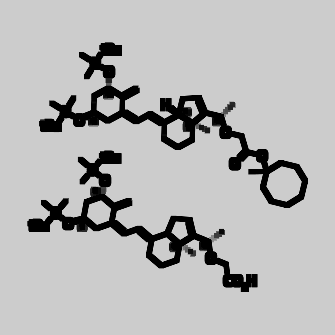 C=C1C(=CC=C2CCC[C@]3(C)C([C@H](C)OCC(=O)O)=CCC23)C[C@@H](O[Si](C)(C)C(C)(C)C)C[C@@H]1O[Si](C)(C)C(C)(C)C.C=C1C(=CC=C2CCC[C@]3(C)C([C@H](C)OCC(=O)OC4(C)CCCCCCC4)=CC[C@@H]23)C[C@@H](O[Si](C)(C)C(C)(C)C)C[C@@H]1O[Si](C)(C)C(C)(C)C